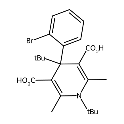 CC1=C(C(=O)O)C(c2ccccc2Br)(C(C)(C)C)C(C(=O)O)=C(C)N1C(C)(C)C